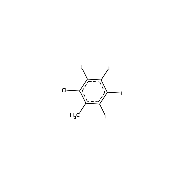 Cc1c(Cl)c(I)c(I)c(I)c1I